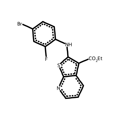 CCOC(=O)c1c(Nc2ccc(Br)cc2F)sc2ncccc12